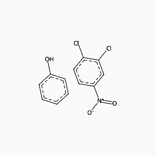 O=[N+]([O-])c1ccc(Cl)c(Cl)c1.Oc1ccccc1